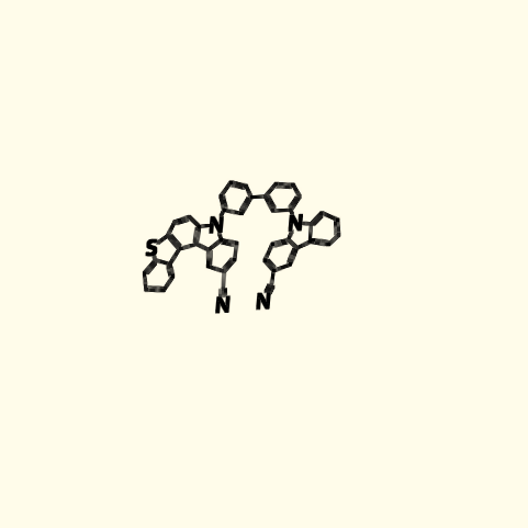 N#Cc1ccc2c(c1)c1ccccc1n2-c1cccc(-c2cccc(-n3c4ccc(C#N)cc4c4c5c(ccc43)sc3ccccc35)c2)c1